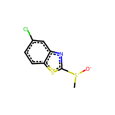 C[S+]([O-])c1nc2cc(Cl)ccc2s1